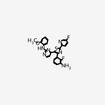 COc1ccccc1Nc1nccc(-c2sc(-c3ccc(F)cn3)nc2-c2cccc(N)c2F)n1